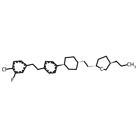 CCC[C@H]1CC[C@H](CC[C@H]2CC[C@H](c3ccc(CCc4ccc(Cl)c(F)c4)cc3)CC2)CC1